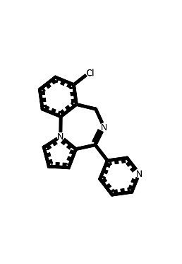 Clc1cccc2c1CN=C(c1cccnc1)c1cccn1-2